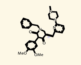 COc1ccc(C2C(=O)/C(=C/c3cccc(N4CCN(C)CC4)n3)CN(Cc3ccccc3)C2=O)cc1OC